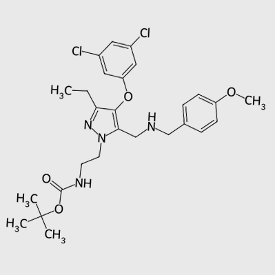 CCc1nn(CCNC(=O)OC(C)(C)C)c(CNCc2ccc(OC)cc2)c1Oc1cc(Cl)cc(Cl)c1